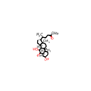 COC(=O)CC[C@@H](C)[C@H]1CC[C@H]2[C@@H]3[C@H](O)C(=O)[C@@H]4C[C@H](O)CC[C@]4(C)[C@H]3CC[C@]12C